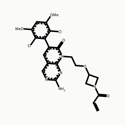 C=CC(=O)N1CC(OCCn2c(=O)c(-c3c(Cl)c(OC)cc(OC)c3Cl)cc3cnc(N)nc32)C1